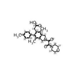 Cc1ccc(-c2c(C)c3c(c(C)c2CC(=O)O)CN(C(=O)C(=O)N2CCOCC2)C3)cc1